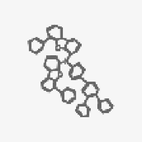 c1ccc(-c2ccc(-c3ccc(N(c4cccc5c4oc4c(-c6ccccc6)cccc45)c4cccc5c4oc4c(-c6ccccc6)cccc45)cc3)cc2-c2ccccc2)cc1